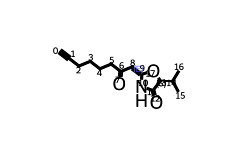 C#CCCCCC(=O)/C=C1\NC(=O)[C@H](C(C)C)O1